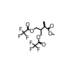 C=C(C(=O)OC)C(COC(=O)C(F)(F)F)COC(=O)C(F)(F)F